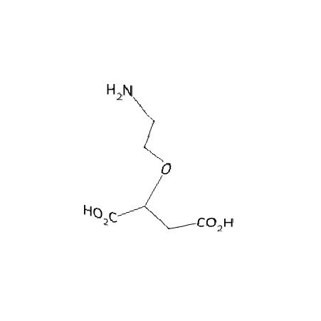 NCCOC(CC(=O)O)C(=O)O